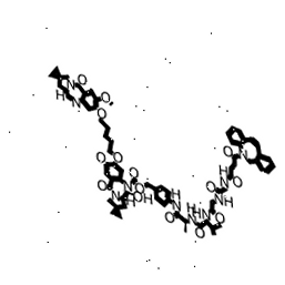 COc1cc2c(cc1OCCCCCOc1cc3c(cc1OC)C(=O)N1CC4(CC4)C[C@H]1[C@H](O)N3C(=O)OCc1ccc(NC(=O)[C@H](C)NC(=O)[C@@H](NC(=O)CNC(=O)CNC(=O)CCC(=O)N3Cc4ccccc4C#Cc4ccccc43)C(C)C)cc1)N=C[C@@H]1CC3(CC3)CN1C2=O